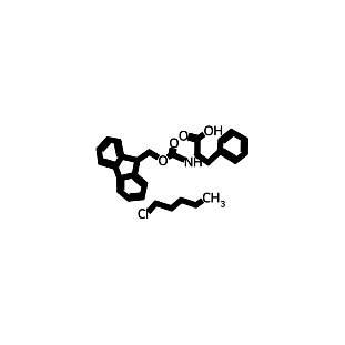 CCCCCCl.O=C(NC(Cc1ccccc1)C(=O)O)OCC1c2ccccc2-c2ccccc21